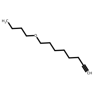 C#CCCCCCCOCCCC